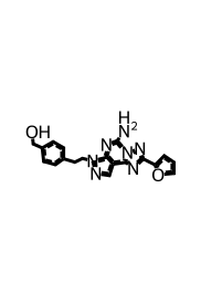 Nc1nc2c(cnn2CCc2ccc(CO)cc2)c2nc(-c3ccco3)nn12